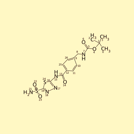 CC(C)(C)OC(=O)NCc1ccc(C(=O)Nc2nnc(S(N)(=O)=O)s2)cc1